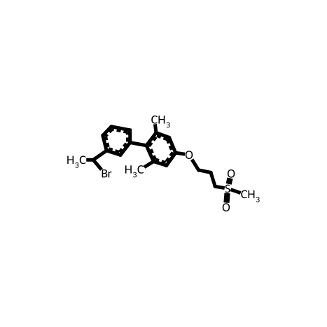 Cc1cc(OCCCS(C)(=O)=O)cc(C)c1-c1cccc(C(C)Br)c1